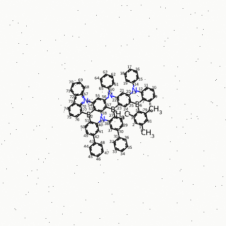 Cc1cc(C)c(B2c3ccccc3N(c3ccccc3)c3cc4c(cc32)B2c3ccc(-c5ccccc5)cc3N3c5cc(-c6ccccc6)ccc5B5c6c(cc(c2c63)N4c2ccccc2)-n2c3ccccc3c3cccc5c32)c(C)c1